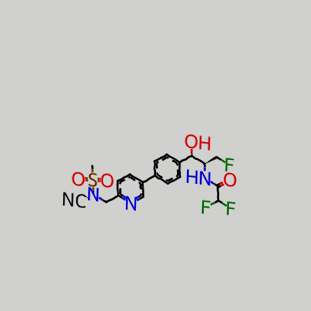 CS(=O)(=O)N(C#N)Cc1ccc(-c2ccc([C@@H](O)[C@@H](CF)NC(=O)C(F)F)cc2)cn1